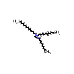 CCCCCCCCCCCCCCN1C=CN(CCCCCCCCCC)C1CCCCCCCCCCC